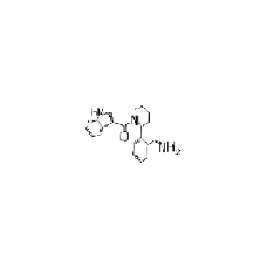 NCc1ccccc1C1CCCCN1C(=O)c1c[nH]c2ccccc12